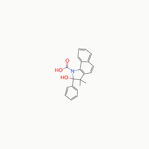 CC1(C)c2ccc3ccccc3c2N(C(=O)O)C1(O)c1ccccc1